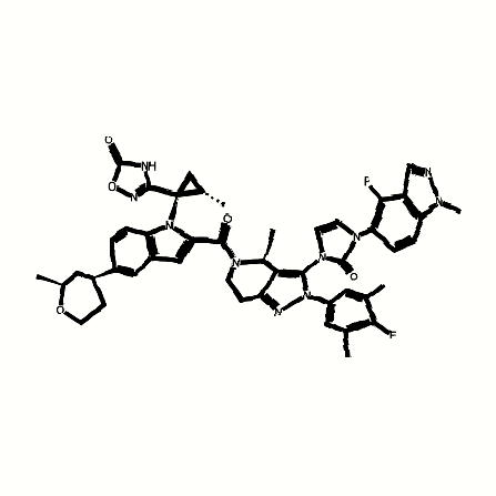 Cc1cc(-n2nc3c(c2-n2ccn(-c4ccc5c(cnn5C)c4F)c2=O)[C@H](C)N(C(=O)c2cc4cc([C@H]5CCO[C@@H](C)C5)ccc4n2[C@@]2(c4noc(=O)[nH]4)C[C@@H]2C)CC3)cc(C)c1F